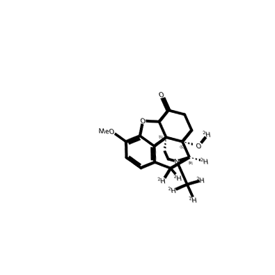 [2H]O[C@@]12CCC(=O)C3Oc4c(OC)ccc5c4[C@@]31CCN(C([2H])([2H])[2H])[C@]2([2H])C5([2H])[2H]